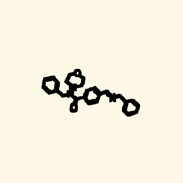 O=C(c1ccc(C=NCc2ccccc2)cc1)N(Cc1ccccc1)N1CCOCC1